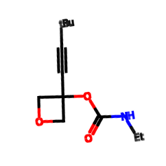 CCNC(=O)OC1(C#CC(C)(C)C)COC1